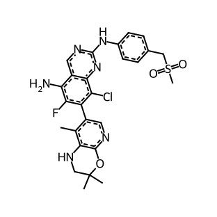 Cc1c(-c2c(F)c(N)c3cnc(Nc4ccc(CS(C)(=O)=O)cc4)nc3c2Cl)cnc2c1NCC(C)(C)O2